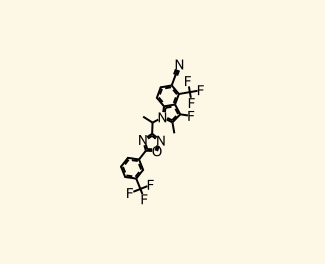 Cc1c(F)c2c(C(F)(F)F)c(C#N)ccc2n1C(C)c1noc(-c2cccc(C(F)(F)F)c2)n1